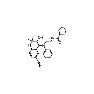 CC1(C)Oc2ccc(C#N)cc2C(N(CCNC(=O)N2CCCC2)c2ccccc2)C1O